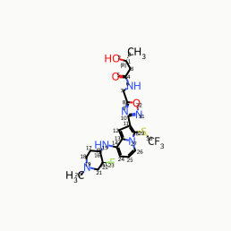 C[C@@H](O)CC(=O)NCc1nc(-c2cc3c(N[C@@H]4CCN(C)C[C@@H]4F)cccn3c2SC(F)(F)F)no1